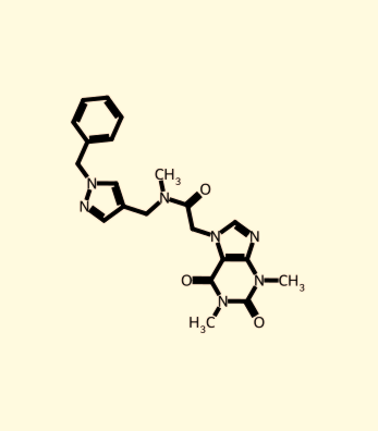 CN(Cc1cnn(Cc2ccccc2)c1)C(=O)Cn1cnc2c1c(=O)n(C)c(=O)n2C